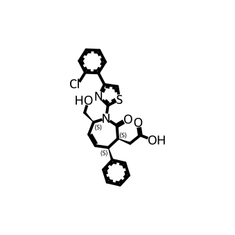 O=C(O)C[C@@H]1C(=O)N(c2nc(-c3ccccc3Cl)cs2)[C@H](CO)C=C[C@@H]1c1ccccc1